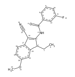 CCC1C(NC(=O)c2cccc(F)c2)=C(C#N)c2ccc(OC)cc21